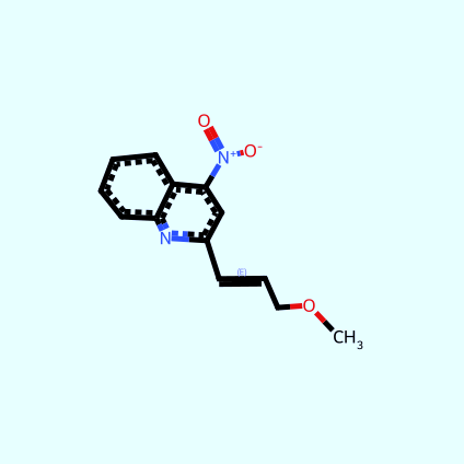 COC/C=C/c1cc([N+](=O)[O-])c2ccccc2n1